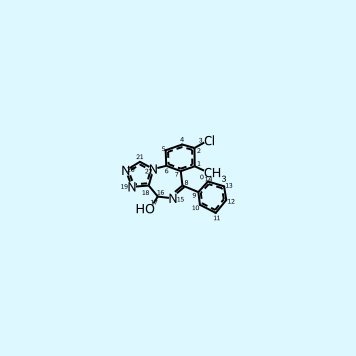 Cc1c(Cl)ccc2c1C(c1ccccc1)=NC(O)c1nncn1-2